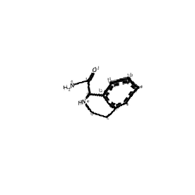 NC(=O)C1NCCc2ccccc21